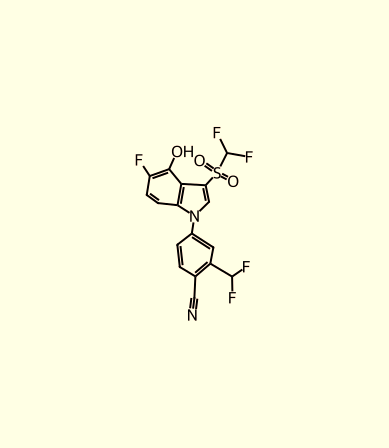 N#Cc1ccc(-n2cc(S(=O)(=O)C(F)F)c3c(O)c(F)ccc32)cc1C(F)F